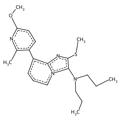 CCCN(CCC)c1c(SC)nc2c(-c3ccc(OC)nc3C)cccn12